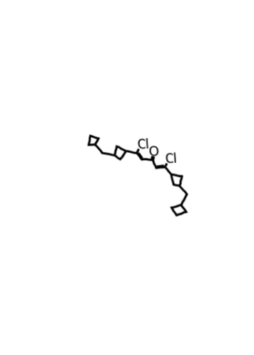 O=C(C=C(Cl)C1CC(CC2CCC2)C1)C=C(Cl)C1CC(CC2CCC2)C1